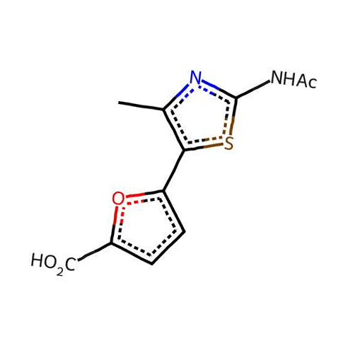 CC(=O)Nc1nc(C)c(-c2ccc(C(=O)O)o2)s1